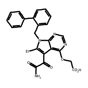 CCc1c(C(=O)C(N)=O)c2c(OCC(=O)O)ncnc2n1Cc1ccccc1-c1ccccc1